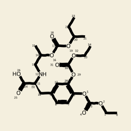 CCOC(=O)Oc1ccc(C[C@H](NCC(C)OC(=O)OC(C)CC)C(=O)O)cc1OC(=O)OCC